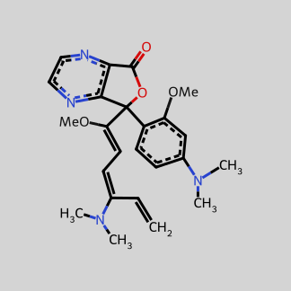 C=C/C(=C\C=C(/OC)C1(c2ccc(N(C)C)cc2OC)OC(=O)c2nccnc21)N(C)C